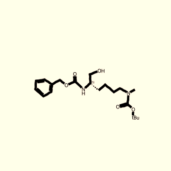 CN(CCCC[C@@H](CO)NC(=O)OCc1ccccc1)C(=O)OC(C)(C)C